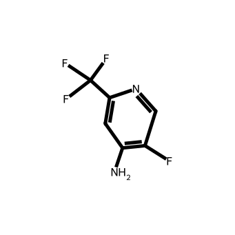 Nc1cc(C(F)(F)F)ncc1F